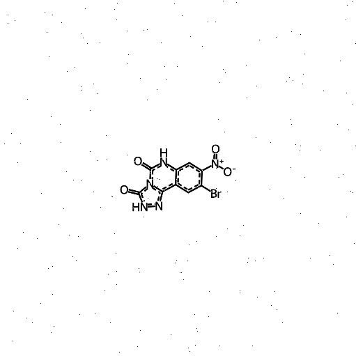 O=c1[nH]nc2c3cc(Br)c([N+](=O)[O-])cc3[nH]c(=O)n12